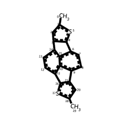 Cc1cc2c(s1)-c1ccc3c4c(ccc-2c14)-c1sc(C)cc1-3